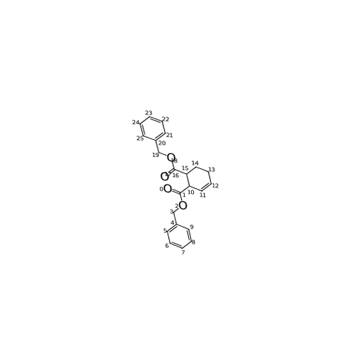 O=C(OCc1ccccc1)C1C=CCCC1C(=O)OCc1ccccc1